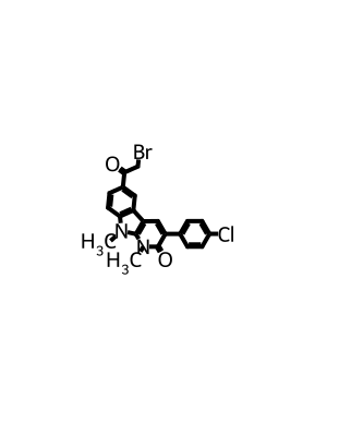 Cn1c(=O)c(-c2ccc(Cl)cc2)cc2c3cc(C(=O)CBr)ccc3n(C)c21